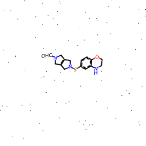 O=CN1CC2=C(C1)CN(Sc1ccc3c(c1)NCCO3)C2